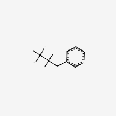 FC(F)(F)C(F)(F)Cc1cccnc1